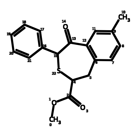 COC(=O)C1Cc2ccc(C)cc2C(=O)C(c2ccccc2)S1